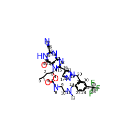 CCCC(OC(=O)N(C)CCN(C)C)n1c(-c2cnn(Cc3cccc(C(F)(F)F)c3)c2)nc2nc(C#N)[nH]c(=O)c21